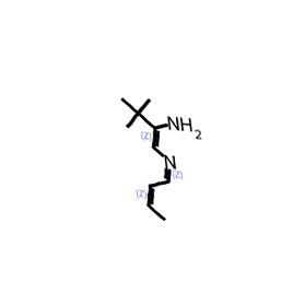 C\C=C/C=N\C=C(/N)C(C)(C)C